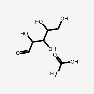 CC(=O)O.O=CC(O)C(O)C(O)CO